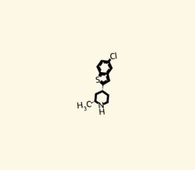 C[C@@H]1C[C@H](c2cc3cc(Cl)ccc3s2)CCN1